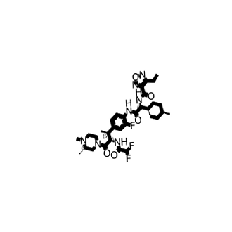 CCc1nonc1C(=O)N[C@H](C(=O)Nc1ccc([C@H](C)[C@@H](NC(=O)C(F)F)C(=O)N2CCN(C)[C@@H](C)C2)cc1F)[C@H]1CC[C@H](C)CC1